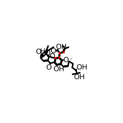 CC(C)=CCc1c2c(c(O)c3c1O[C@]14C(=CC5CC([C@H]1C5=O)C(C)(C)OC4C/C=C(/C)C(=O)O)C3=O)C=C[C@](C)(CCC(O)C(C)(C)O)O2